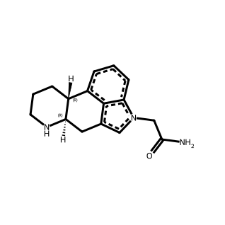 NC(=O)Cn1cc2c3c(cccc31)[C@H]1CCCN[C@@H]1C2